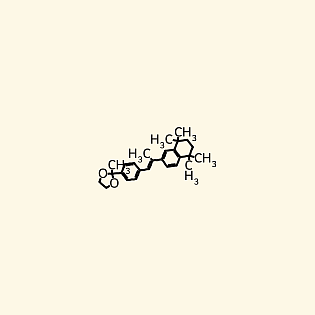 CC(=Cc1ccc(C2(C)OCCO2)cc1)c1ccc2c(c1)C(C)(C)CCC2(C)C